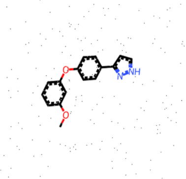 COc1cccc(Oc2ccc(-c3cc[nH]n3)cc2)c1